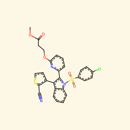 COC(=O)CCOc1cccc(-c2c(-c3ccsc3C#N)c3ccccc3n2S(=O)(=O)c2ccc(Cl)cc2)n1